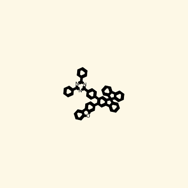 c1ccc(-c2nc(-c3ccccc3)nc(-c3ccc(-c4cc5c(cc4-c4ccc6c(c4)oc4ccccc46)-c4ccccc4C54c5ccccc5-c5ccccc54)cc3)n2)cc1